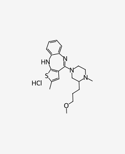 COCCCC1CN(C2=Nc3ccccc3Nc3sc(C)cc32)CCN1C.Cl